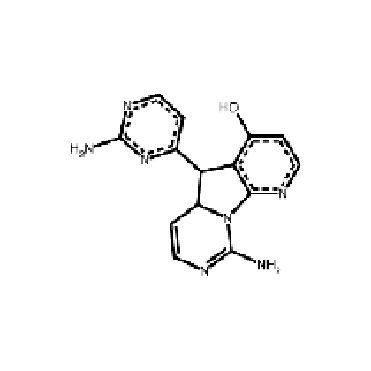 NC1=NC=CC2C(c3ccnc(N)n3)c3c(O)ccnc3N12